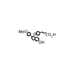 COc1ccc(-c2ccc3cc(O)ccc3c2Oc2ccc(C=CCC(=O)O)cc2)cc1